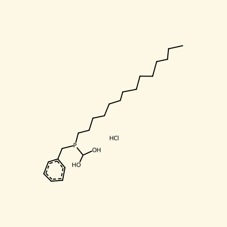 CCCCCCCCCCCCCCP(Cc1ccccc1)C(O)O.Cl